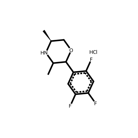 CC1N[C@@H](C)COC1c1cc(F)c(F)cc1F.Cl